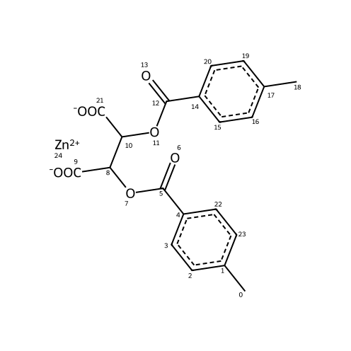 Cc1ccc(C(=O)OC(C(=O)[O-])C(OC(=O)c2ccc(C)cc2)C(=O)[O-])cc1.[Zn+2]